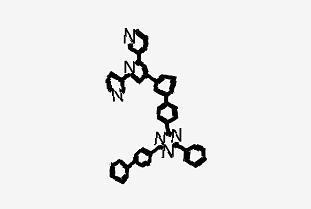 c1ccc(-c2ccc(-c3nc(-c4ccccc4)nc(-c4ccc(-c5cccc(-c6cc(-c7cccnc7)nc(-c7cccnc7)c6)c5)cc4)n3)cc2)cc1